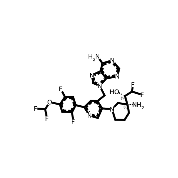 Nc1ncnc2c1ncn2Cc1cc(-c2cc(F)c(OC(F)F)cc2F)ncc1N1CCC[C@](N)([C@H](O)C(F)F)C1